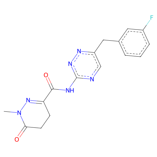 CN1N=C(C(=O)Nc2ncc(Cc3cccc(F)c3)nn2)CCC1=O